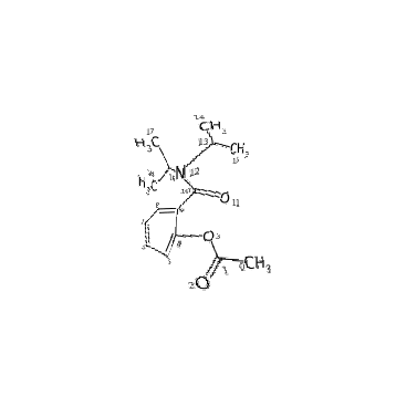 CC(=O)Oc1ccccc1C(=O)N(C(C)C)C(C)C